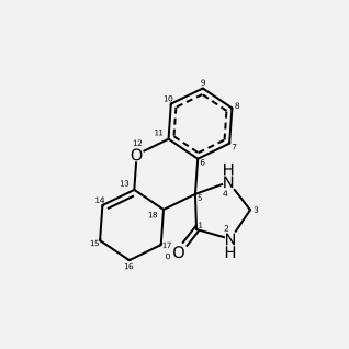 O=C1NCNC12c1ccccc1OC1=CCCCC12